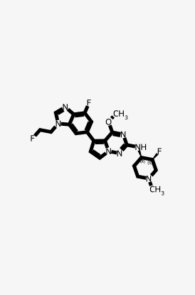 COc1nc(N[C@@H]2CCN(C)C[C@@H]2F)nn2ccc(-c3cc(F)c4ncn(CCF)c4c3)c12